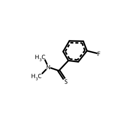 CN(C)C(=S)c1cccc(F)c1